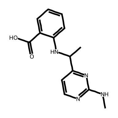 CNc1nccc(C(C)Nc2ccccc2C(=O)O)n1